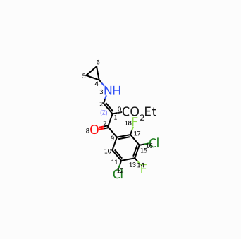 CCOC(=O)/C(=C\NC1CC1)C(=O)c1cc(Cl)c(F)c(Cl)c1F